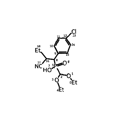 CCOC(OCC)P(=O)(O)C(c1ccc(Cl)cc1)C(C#N)CC